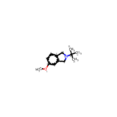 COc1ccc2c(c1)CN(C(C)(C)C)C2